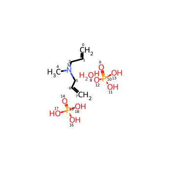 C=CCN(C)CC=C.O.O=P(O)(O)O.O=P(O)(O)O